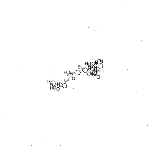 CCc1cc(Nc2ncc(Cl)c(Nc3ccc4nccnc4c3NS(C)(=O)=O)n2)c(OC)cc1N1CCC(N(C)C(=O)CCOc2cccc3c2CN(C2CCC(=O)NC2=O)C3=O)CC1